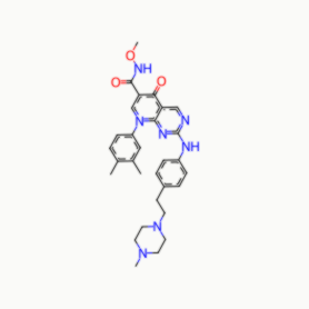 CONC(=O)c1cn(-c2ccc(C)c(C)c2)c2nc(Nc3ccc(CCN4CCN(C)CC4)cc3)ncc2c1=O